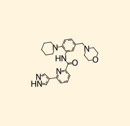 O=C(Nc1cc(CN2CCOCC2)ccc1N1CCCCC1)c1cccc(-c2cn[nH]c2)n1